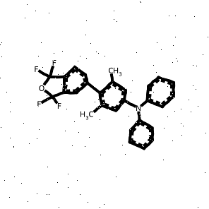 Cc1cc(N(c2ccccc2)c2ccccc2)cc(C)c1-c1ccc2c(c1)C(F)(F)OC2(F)F